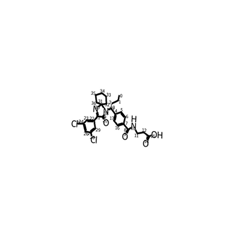 CCC[C@H](c1ccc(C(=O)NCCC(=O)O)cc1)N1C(=O)C(c2cc(Cl)cc(Cl)c2)=NC12CCCCC2